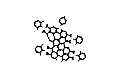 Cc1ccc(-n2c3cc4c(=O)n(-c5c(C(C)C)cccc5C(C)C)c(=O)c5cc6c7c8c(=O)n(-c9c(C(C)C)cccc9C(C)C)c(=O)c9cc(Cl)c%10c%11c(Cl)cc%12c(=O)n(-c%13c(C(C)C)cccc%13C(C)C)c(=O)c%13cc%14c%15c%16c(=O)n(-c%17c(C(C)C)cccc%17C(C)C)c(=O)c%17cc2c2c(c%17%16)c(c6c(c54)c23)c%15c7c(c%14c%11c%12%13)c%10c98)cc1